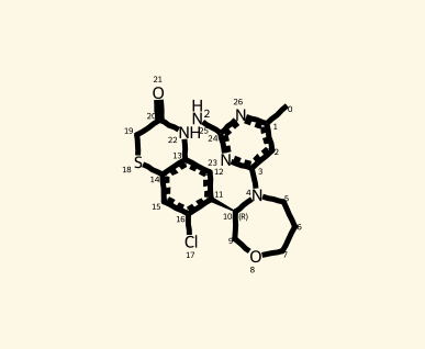 Cc1cc(N2CCCOC[C@H]2c2cc3c(cc2Cl)SCC(=O)N3)nc(N)n1